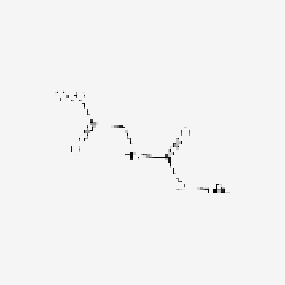 CCCCOC(=O)NCC(=O)OC